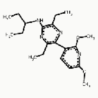 CCc1nc(-c2ccc(OC)nc2OC)c(CC)nc1NC(CC)CC